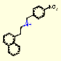 O=[N+]([O-])c1ccc(CNCCc2cccc3ccccc23)cc1